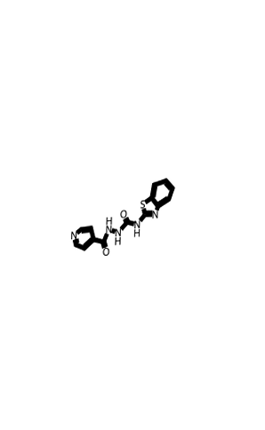 O=C(NNC(=O)c1ccncc1)Nc1nc2ccccc2s1